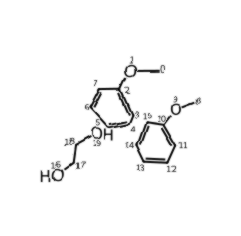 COc1ccccc1.COc1ccccc1.OCCO